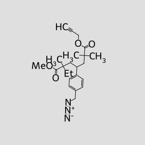 C#CCOC(=O)C(C)(C)CC(CC(C)(CC)C(=O)OC)c1ccc(CN=[N+]=[N-])cc1